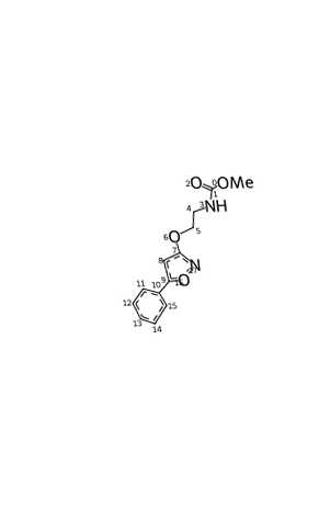 COC(=O)NCCOc1cc(-c2ccccc2)on1